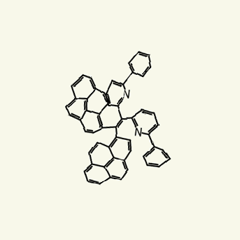 c1ccc(-c2cccc(C(=C(c3ccc4ccc5cccc6ccc3c4c56)c3ccc4ccc5cccc6ccc3c4c56)c3cccc(-c4ccccc4)n3)n2)cc1